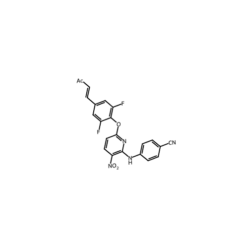 CC(=O)/C=C/c1cc(F)c(Oc2ccc([N+](=O)[O-])c(Nc3ccc(C#N)cc3)n2)c(F)c1